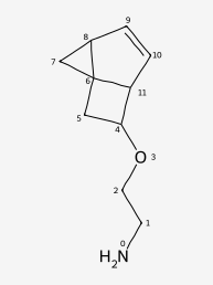 NCCOC1CC23CC2C=CC13